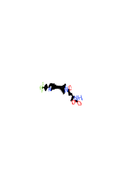 O=C1N[C@H](CCC(=O)N2CC(c3ccc([C@H]4C[C@@H](C(F)(F)F)C4)nc3)C2)CO1